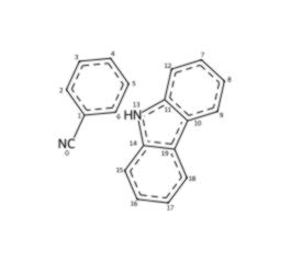 N#Cc1ccccc1.c1ccc2c(c1)[nH]c1ccccc12